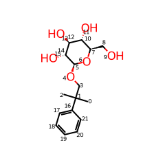 CC(C)(CO[C@@H]1O[C@H](CO)[C@@H](O)[C@H](O)[C@H]1O)c1ccccc1